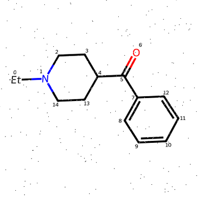 C[CH]N1CCC(C(=O)c2ccccc2)CC1